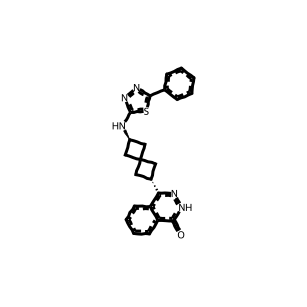 O=c1[nH]nc([C@H]2CC3(C[C@H](Nc4nnc(-c5ccccc5)s4)C3)C2)c2ccccc12